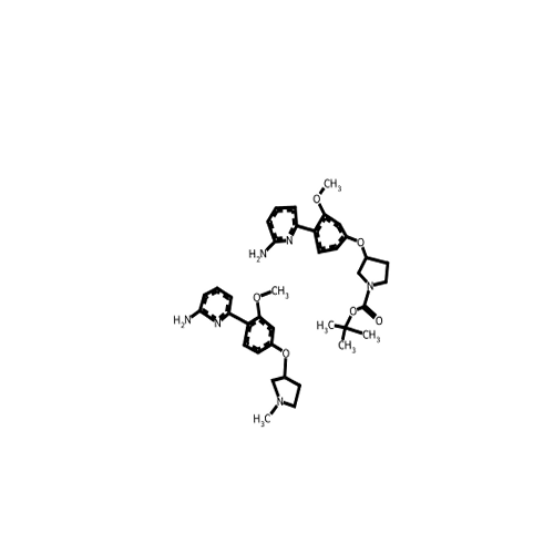 COc1cc(OC2CCN(C(=O)OC(C)(C)C)C2)ccc1-c1cccc(N)n1.COc1cc(OC2CCN(C)C2)ccc1-c1cccc(N)n1